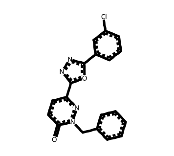 O=c1ccc(-c2nnc(-c3cccc(Cl)c3)o2)nn1Cc1ccccc1